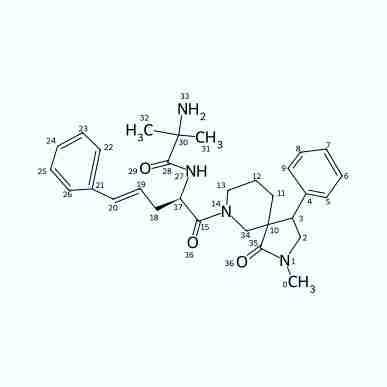 CN1CC(c2ccccc2)C2(CCCN(C(=O)[C@@H](C/C=C/c3ccccc3)NC(=O)C(C)(C)N)C2)C1=O